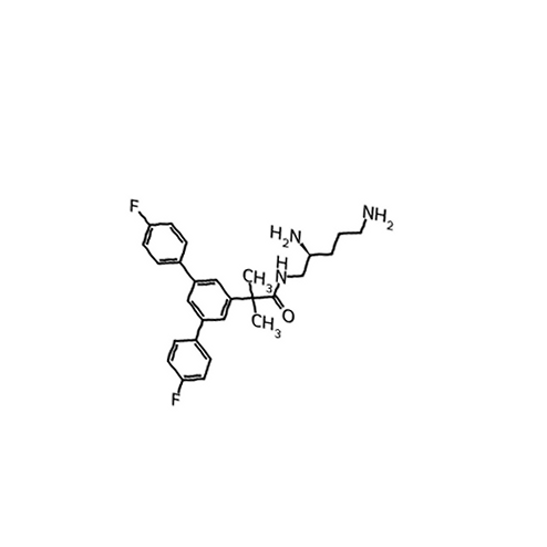 CC(C)(C(=O)NC[C@@H](N)CCCN)c1cc(-c2ccc(F)cc2)cc(-c2ccc(F)cc2)c1